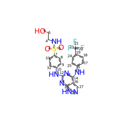 O=S(=O)(NCCO)c1ccc(Nc2nc(Nc3ccc(C(F)(F)F)cc3)c3cn[nH]c3n2)cc1